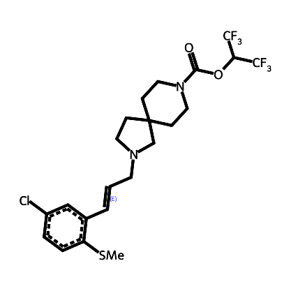 CSc1ccc(Cl)cc1/C=C/CN1CCC2(CCN(C(=O)OC(C(F)(F)F)C(F)(F)F)CC2)C1